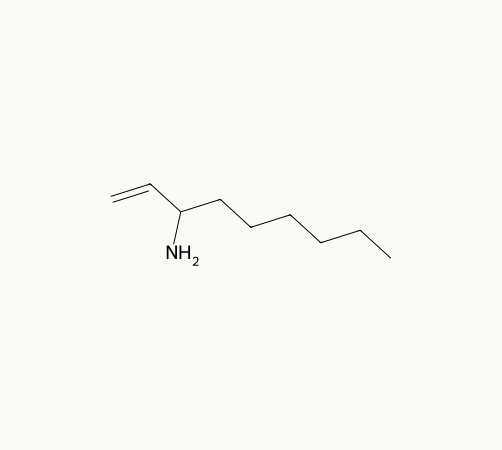 C=CC(N)CCCCCC